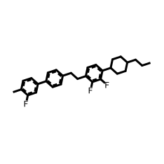 CCCC1CCC(c2ccc(CCc3ccc(-c4ccc(C)c(F)c4)cc3)c(F)c2F)CC1